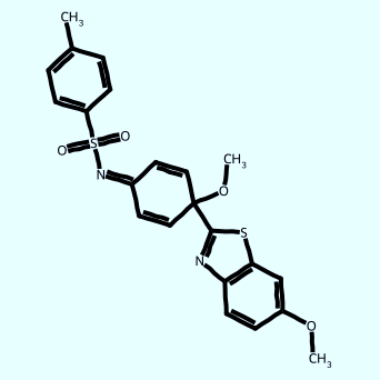 COc1ccc2nc(C3(OC)C=CC(=NS(=O)(=O)c4ccc(C)cc4)C=C3)sc2c1